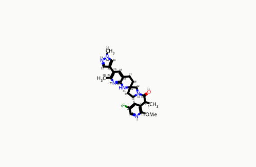 COc1ncc(F)cc1C(C)C(=O)N1CCC2(CCc3cc(-c4cnn(C)c4)c(C)nc3N2)C1